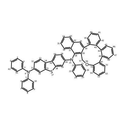 c1ccc(N(c2ccccc2)c2ccc3c(c2)sc2cc(N(c4ccccc4)c4c5c(cc6ccccc46)-c4ccccc4-c4ccccc4-c4ccccc4OC5)ccc23)cc1